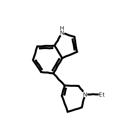 CCN1CCC=C(c2cccc3[nH]ccc23)C1